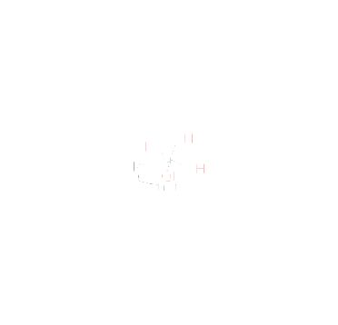 CCC[CH2][Rb].O[Si](O)(O)O